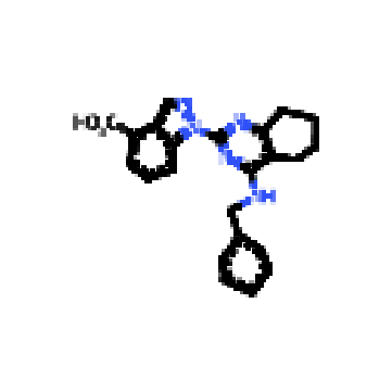 O=C(O)c1cccc2c1cnn2-c1nc2c(c(NCc3ccccc3)n1)CCCC2